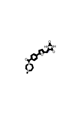 CN1CCCN(C(=O)c2ccc(-c3ccc(/C=C4\NC(=O)NC4=O)o3)cc2)CC1